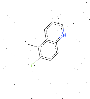 Cc1c(F)ccc2ncccc12